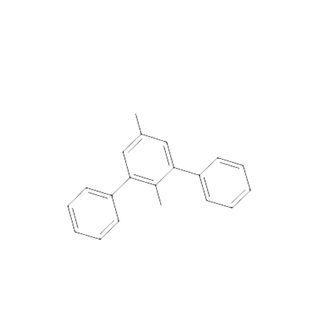 [O]c1c(-c2ccccc2)cc(F)cc1-c1ccccc1